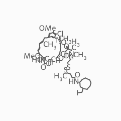 COc1cc2cc(c1Cl)N(C)C(=O)C[C@H](CC(=O)[C@H](C)N(C)C(=O)CCSSC(C)CCC(=O)NC1CCCCCCC(CI)C1)[C@]1(C)O[C@H]1C[C@@H]1C[C@@](O)(NC(=O)O1)[C@H](OC)/C=C/C=C(\C)C2